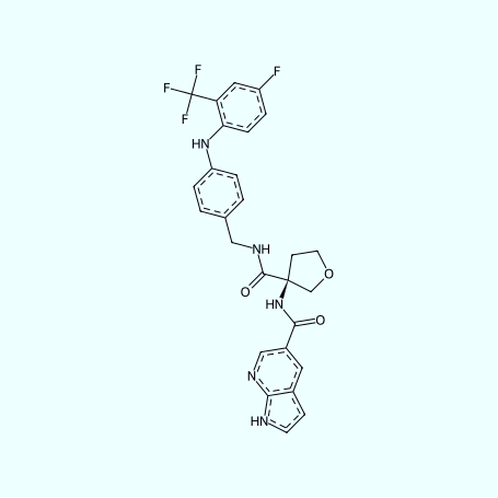 O=C(N[C@@]1(C(=O)NCc2ccc(Nc3ccc(F)cc3C(F)(F)F)cc2)CCOC1)c1cnc2[nH]ccc2c1